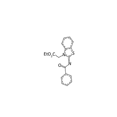 CCOC(=O)Cn1c(=NC(=O)c2ccccc2)sc2ccccc21